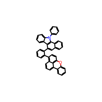 c1ccc(-n2c3ccccc3c3c(-c4ccccc4-c4ccc5c6c(cccc46)-c4ccccc4O5)cc4ccccc4c32)cc1